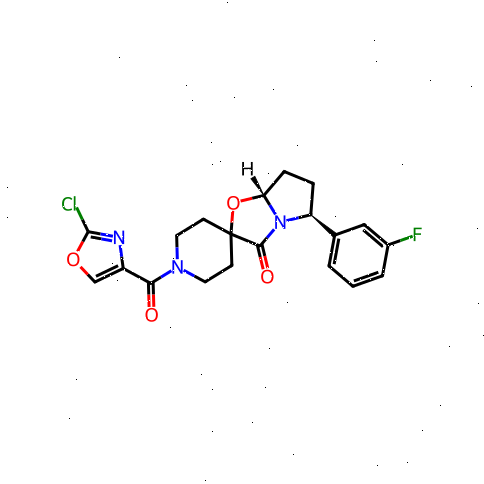 O=C(c1coc(Cl)n1)N1CCC2(CC1)O[C@@H]1CC[C@@H](c3cccc(F)c3)N1C2=O